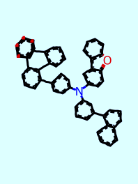 c1ccc(-c2ccccc2-c2c(-c3ccccc3)cccc2-c2ccc(N(c3cccc(-c4cccc5ccccc45)c3)c3ccc4oc5ccccc5c4c3)cc2)cc1